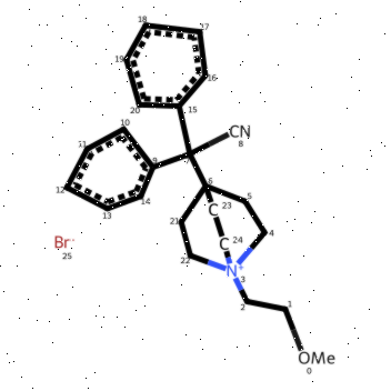 COCC[N+]12CCC(C(C#N)(c3ccccc3)c3ccccc3)(CC1)CC2.[Br-]